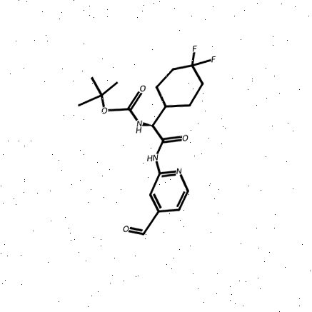 CC(C)(C)OC(=O)N[C@H](C(=O)Nc1cc(C=O)ccn1)C1CCC(F)(F)CC1